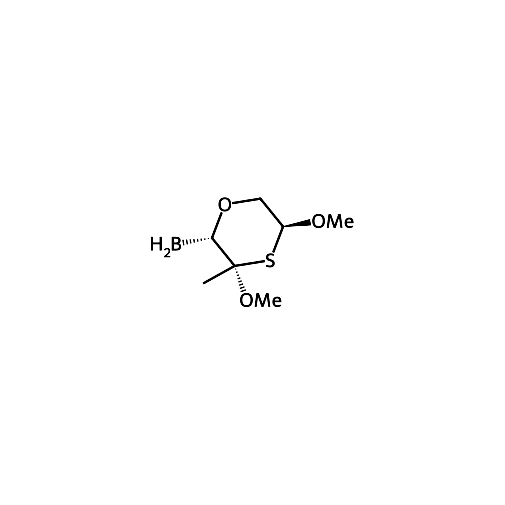 B[C@@H]1OC[C@@H](OC)S[C@]1(C)OC